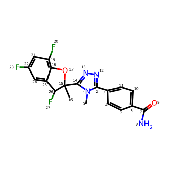 Cn1c(-c2ccc(C(N)=O)cc2)nnc1C1(C)Oc2c(F)cc(F)cc2C1F